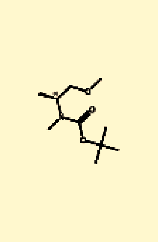 COC[C@H](C)N(C)C(=O)OC(C)(C)C